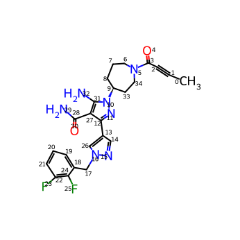 CC#CC(=O)N1CCC[C@H](n2nc(-c3cnn(Cc4cccc(F)c4F)c3)c(C(N)=O)c2N)CC1